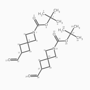 CC(C)(C)OC(=O)N1CC2(CC(C=O)C2)C1.CC(C)(C)OC(=O)N1CC2(CC(C=O)C2)C1